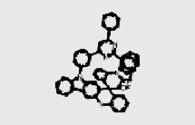 c1ccc(-c2cc(-c3cccc(-n4c5ccccc5c5cc6c(cc54)C4(c5ccccc5S6)c5ccccc5-n5c6ccccc6c6cccc4c65)c3)nc(-c3ccccc3)n2)cc1